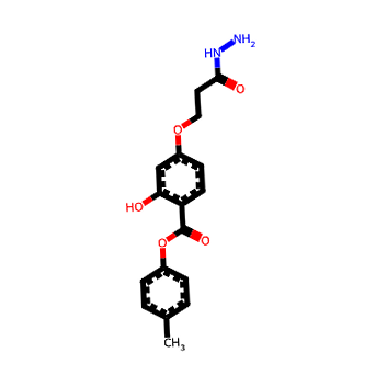 Cc1ccc(OC(=O)c2ccc(OCCC(=O)NN)cc2O)cc1